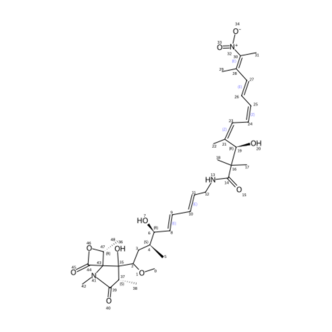 COC(C[C@H](C)[C@@H](O)/C=C/C=C/CNC(=O)C(C)(C)[C@H](O)\C(C)=C/C=C\C=C\C(C)=C(/C)[N+](=O)[O-])C1(O)[C@H](C)C(=O)N(C)C12C(=O)O[C@@H]2C